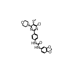 CSc1c(Cl)nc(-c2ccc(NC(=O)Nc3ccc4c(c3)OCO4)cc2)nc1N1CCOCC1